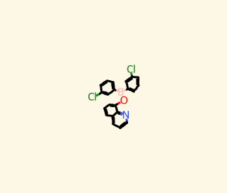 Clc1cccc(B(Oc2cccc3cccnc23)c2cccc(Cl)c2)c1